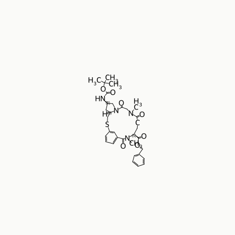 CN1CC(=O)N2C[C@H](NC(=O)OC(C)(C)C)C[C@H]2CSc2cccc(c2)C(=O)N(C)[C@H](C(=O)OCc2ccccc2)CCC1=O